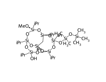 CO[Si@@]1(C(C)C)O[Si]2(C(C)C)C[Si@]3(C(C)C)O[Si](C(C)C)(O[Si](O)(C(C)C)O[Si](C(C)C)(O3)O1)O[Si](O[Si](C)(C)O[Si](C)(C)C)(C(C)C)O2